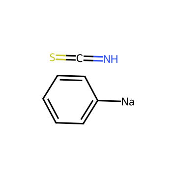 N=C=S.[Na][c]1ccccc1